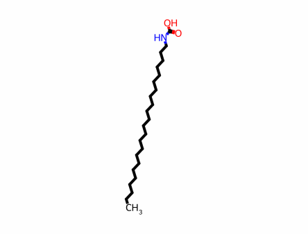 CCCCCCCCCCCCCCCCCCCCCCCNC(=O)O